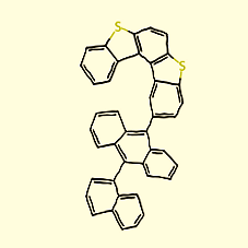 c1ccc2c(-c3c4ccccc4c(-c4ccc5sc6ccc7sc8ccccc8c7c6c5c4)c4ccccc34)cccc2c1